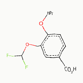 CCCOc1ccc(C(=O)O)cc1OC(F)F